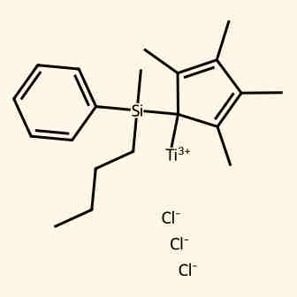 CCCC[Si](C)(c1ccccc1)[C]1([Ti+3])C(C)=C(C)C(C)=C1C.[Cl-].[Cl-].[Cl-]